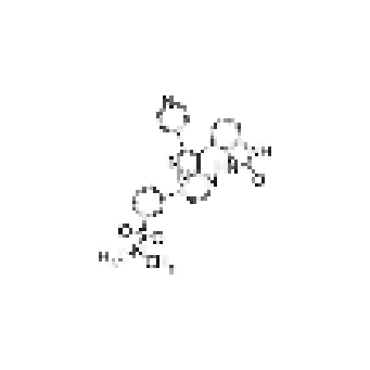 CN(C)S(=O)(=O)c1cccc(-c2ccnc3c(-c4cccc5[nH]c(=O)[nH]c45)c(-c4ccncc4)nn23)c1